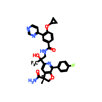 C[C@]1(C(N)=O)COc2c1cc(C(O)(CNC(=O)c1ccc(OC3CC3)c(-c3ccncn3)c1)C(F)(F)F)nc2-c1ccc(F)cc1